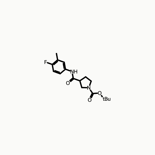 Cc1cc(NC(=O)C2CCN(C(=O)OC(C)(C)C)C2)ccc1F